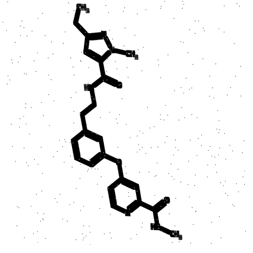 CCc1cc(C(=O)NCCc2cccc(Oc3ccnc(C(=O)NC)c3)c2)n(C)n1